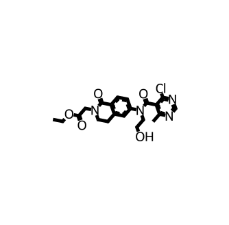 CCOC(=O)CN1CCc2cc(N(CCO)C(=O)c3c(C)ncnc3Cl)ccc2C1=O